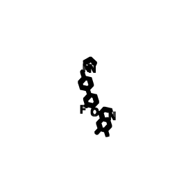 Cc1cc2nccc(Oc3ccc(-c4ccc(Cn5cccn5)cc4)cc3F)c2cc1C